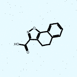 O=C(O)c1noc2c1CCc1ccccc1-2